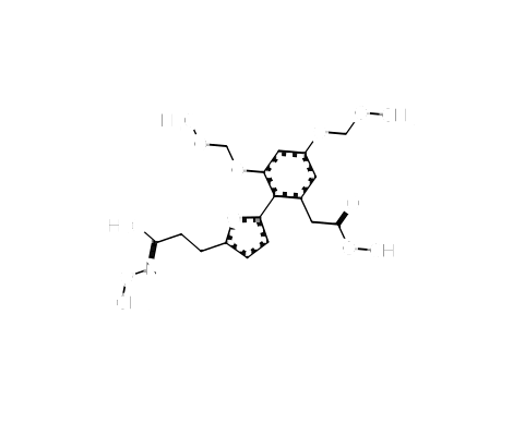 COCOc1cc(CC(=O)OC)c(-c2ccc(CCC(C)=NOC)o2)c(OCOC)c1